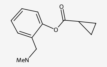 CNCc1ccccc1OC(=O)C1CC1